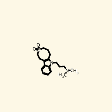 CN(C)CCCn1c2c(c3ccccc31)CCS(=O)(=O)CCC2